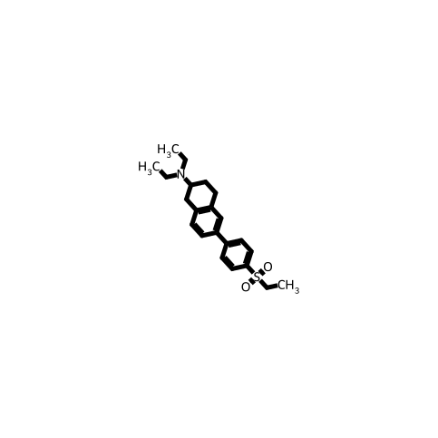 CCN(CC)C1CCc2cc(-c3ccc(S(=O)(=O)CC)cc3)ccc2C1